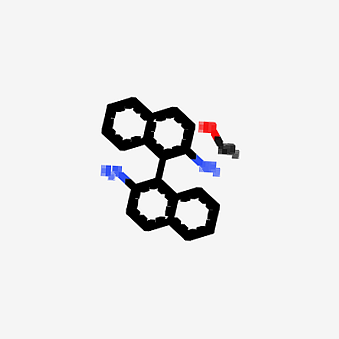 Nc1ccc2ccccc2c1-c1c(N)ccc2ccccc12.O=[N+]([O-])O